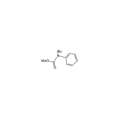 CCC(C)N(C(=O)OC)c1ccccc1